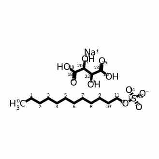 CCCCCCCCCCCCOS(=O)(=O)[O-].O=C(O)C(O)C(O)C(=O)O.[Na+]